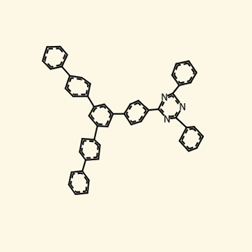 c1ccc(-c2ccc(-c3cc(-c4ccc(-c5ccccc5)cc4)cc(-c4ccc(-c5nc(-c6ccccc6)nc(-c6ccccc6)n5)cc4)c3)cc2)cc1